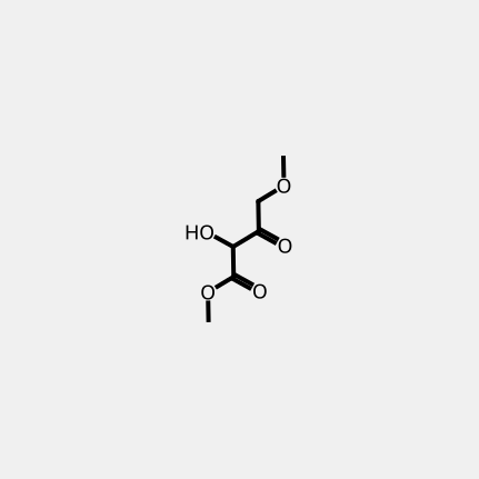 COCC(=O)C(O)C(=O)OC